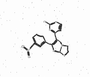 O=[N+]([O-])c1cccc(-c2nc3n(c2-c2ccnc(Cl)n2)CCS3)c1